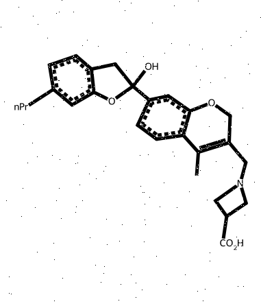 CCCc1ccc2c(c1)OC(O)(c1ccc3c(c1)OCC(CN1CC(C(=O)O)C1)=C3C)C2